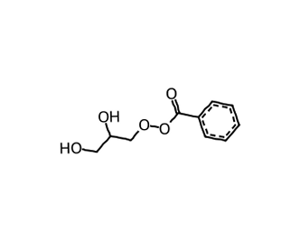 O=C(OOCC(O)CO)c1ccccc1